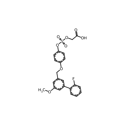 COc1cc(COc2ccc(OS(=O)(=O)OCC(=O)O)cc2)cc(-c2ccccc2F)c1